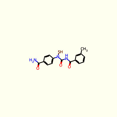 Cc1cccc(C(=O)NC(=O)N(S)c2ccc(C(N)=O)cc2)c1